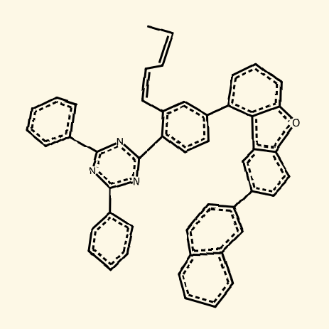 C/C=C\C=C/c1cc(-c2cccc3oc4ccc(-c5ccc6ccccc6c5)cc4c23)ccc1-c1nc(-c2ccccc2)nc(-c2ccccc2)n1